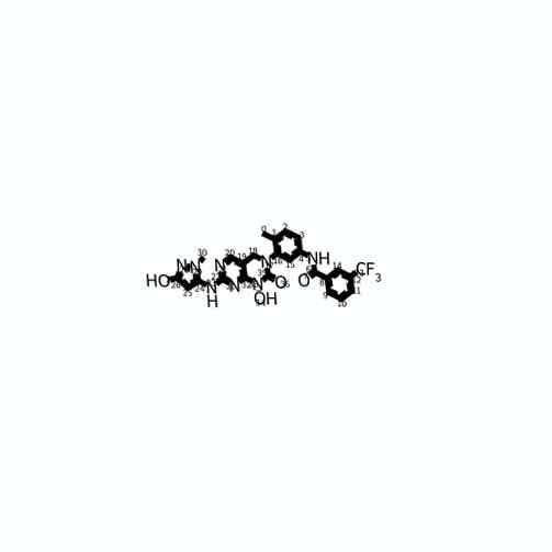 Cc1ccc(NC(=O)c2cccc(C(F)(F)F)c2)cc1N1Cc2cnc(Nc3cc(O)nn3C)nc2N(O)C1=O